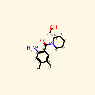 Cc1cc(N)c(C(=O)N2CCCC[C@H]2CO)cc1C